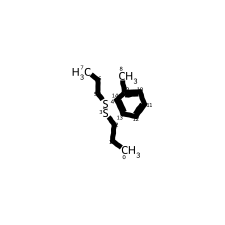 CCCSSCCC.Cc1ccccc1